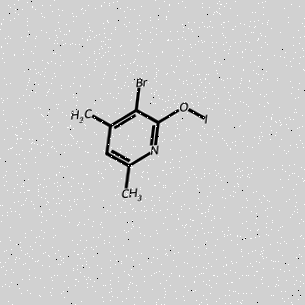 Cc1cc(C)c(Br)c(OI)n1